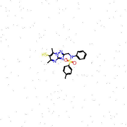 Cc1ccc(S(=O)(=O)N(Cc2nc3nc(C)c(S)c(C)n3n2)c2ccccc2)cc1